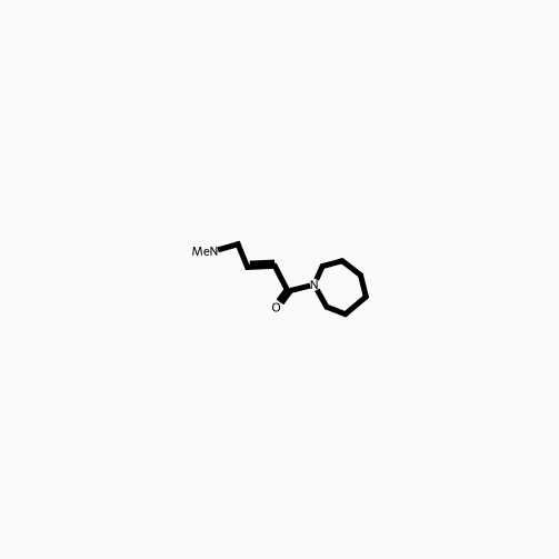 CNC/C=C/C(=O)N1CCCCCC1